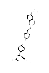 CC#CC(CC(=O)O)c1ccc(OCc2ccc(CCN3CCc4cc(OC)ccc4C3)cc2)cc1